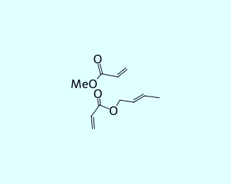 C=CC(=O)OC.C=CC(=O)OCC=CC